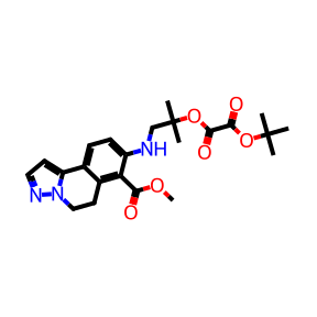 COC(=O)c1c(NCC(C)(C)OC(=O)C(=O)OC(C)(C)C)ccc2c1CCn1nccc1-2